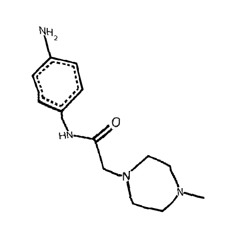 CN1CCN(CC(=O)Nc2ccc(N)cc2)CC1